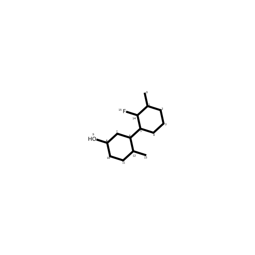 CC1CCCC(C2CC(O)CCC2C)C1F